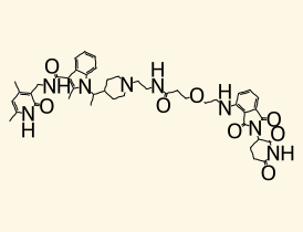 Cc1cc(C)c(CNC(=O)c2c(C)n(C(C)C3CCN(CCNC(=O)CCOCCNc4cccc5c4C(=O)N(C4CCC(=O)NC4=O)C5=O)CC3)c3ccccc23)c(=O)[nH]1